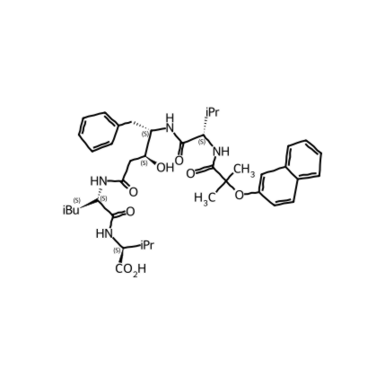 CC[C@H](C)[C@H](NC(=O)C[C@H](O)[C@H](Cc1ccccc1)NC(=O)[C@@H](NC(=O)C(C)(C)Oc1ccc2ccccc2c1)C(C)C)C(=O)N[C@H](C(=O)O)C(C)C